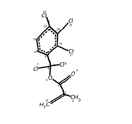 C=C(C)C(=O)OC(Cl)(Cl)c1ccc(Cl)c(Cl)c1Cl